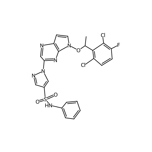 CC(On1ccc2ncc(-n3cc(S(=O)(=O)Nc4ccccc4)cn3)nc21)c1c(Cl)ccc(F)c1Cl